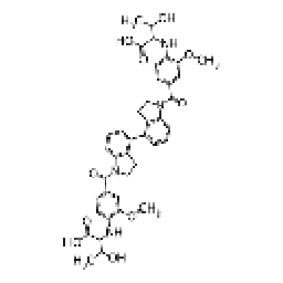 COc1cc(C(=O)N2CCc3c(-c4cccc5c4CCN5C(=O)c4ccc(NC(C(=O)O)C(C)O)c(OC)c4)cccc32)ccc1NC(C(=O)O)C(C)O